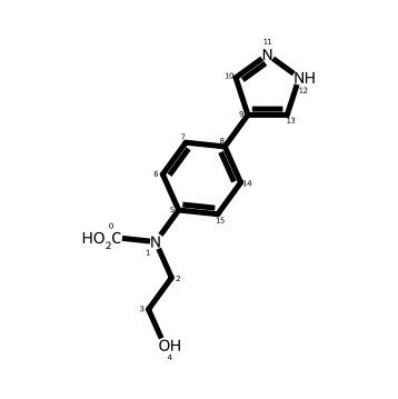 O=C(O)N(CCO)c1ccc(-c2cn[nH]c2)cc1